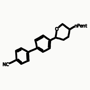 CCCCCC1CCC(c2ccc(-c3ccc(C#N)cc3)cc2)OC1